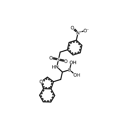 O=[N+]([O-])c1cccc(CS(=O)(=O)NC(Cc2coc3ccccc23)B(O)O)c1